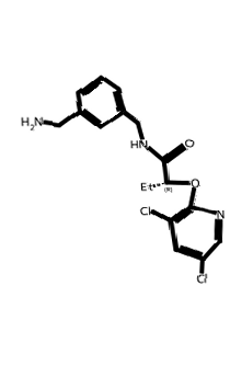 CC[C@@H](Oc1ncc(Cl)cc1Cl)C(=O)NCc1cccc(CN)c1